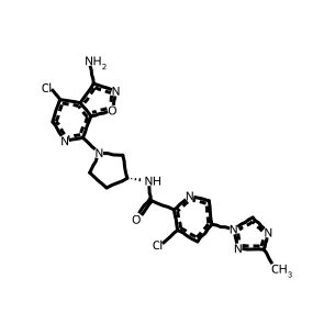 Cc1ncn(-c2cnc(C(=O)N[C@@H]3CCN(c4ncc(Cl)c5c(N)noc45)C3)c(Cl)c2)n1